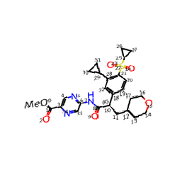 COC(=O)c1cnc(NC(=O)[C@H](CC2CCOCC2)c2ccc(S(=O)(=O)C3CC3)c(C3CC3)c2)cn1